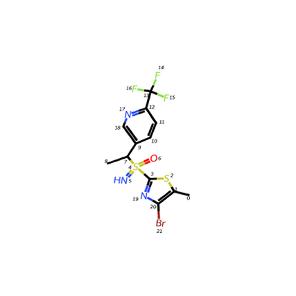 Cc1sc(S(=N)(=O)C(C)c2ccc(C(F)(F)F)nc2)nc1Br